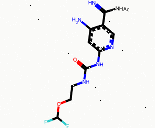 CC(=O)NC(=N)c1cnc(NC(=O)NCCOC(F)F)cc1N